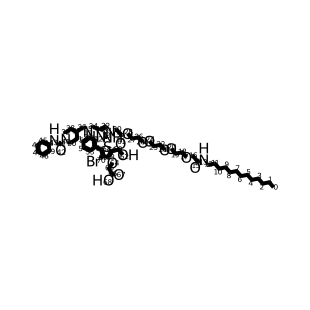 CCCCCCCCCCCCCNC(=O)COCCOOCCOOCCOCCN1C=C(CN(CC2CCN(C(=O)Nc3ccccc3)CC2)c2cccc(-c3sc(C(=O)O)c(OCC(=O)O)c3Br)c2)NN1